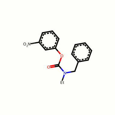 CCN(Cc1ccccc1)C(=O)Oc1cccc([N+](=O)[O-])c1